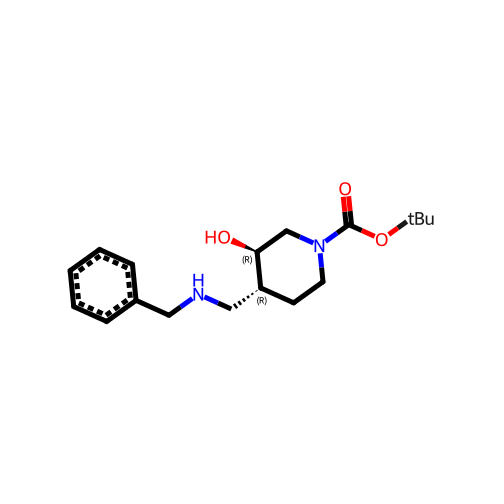 CC(C)(C)OC(=O)N1CC[C@H](CNCc2ccccc2)[C@@H](O)C1